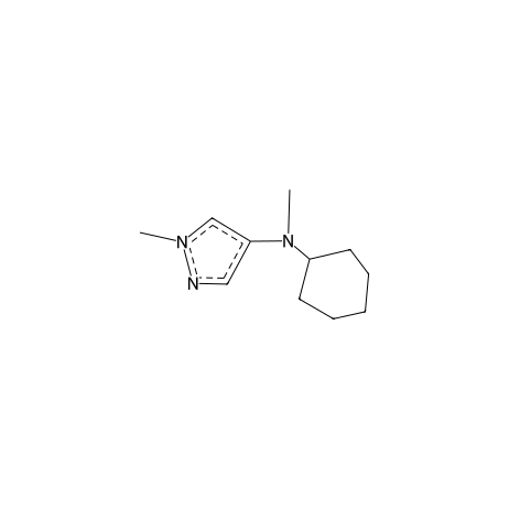 CN(c1cnn(C)c1)C1CCCCC1